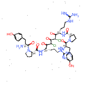 N=C(N)NCCC[C@H](NC(=O)[C@@H]1CCCN1C(=O)[C@H](N)Cc1ccc(O)cc1)C(=O)C(Cl)C(=O)C(Cl)C(=O)[C@H](CCCNC(=N)N)NC(=O)[C@@H]1CCCN1C(=O)[C@H](N)Cc1ccc(O)cc1